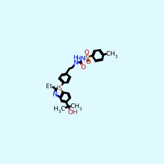 CCC1=Nc2cc(C(C)(C)O)ccc2[SH]1c1ccc(CCNC(=O)NS(=O)(=O)c2ccc(C)cc2)cc1